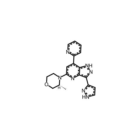 C[C@@H]1COCCN1c1cc(-c2ccccn2)c2[nH]nc(-c3cc[nH]n3)c2n1